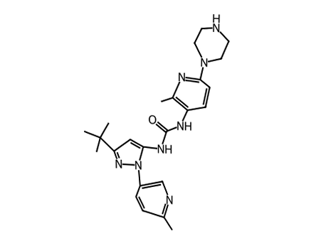 Cc1ccc(-n2nc(C(C)(C)C)cc2NC(=O)Nc2ccc(N3CCNCC3)nc2C)cn1